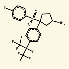 NC1CCC(c2ccc(C(F)(C(F)(F)F)C(F)(F)F)cc2)(S(=O)(=O)c2ccc(F)cc2)C1